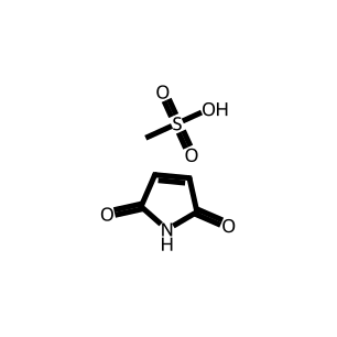 CS(=O)(=O)O.O=C1C=CC(=O)N1